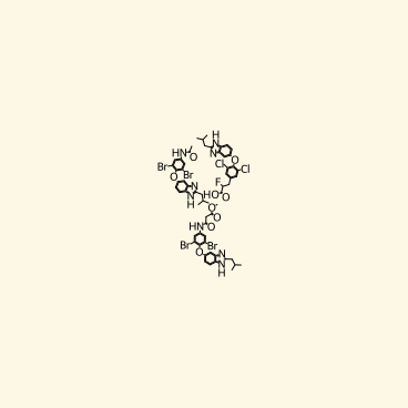 CC(=O)Nc1cc(Br)c(Oc2ccc3[nH]c(CC(C)C)nc3c2)c(Br)c1.CC(C)Cc1nc2cc(Oc3c(Cl)cc(CC(F)C(=O)O)cc3Cl)ccc2[nH]1.COC(=O)CC(=O)Nc1cc(Br)c(Oc2ccc3[nH]c(CC(C)C)nc3c2)c(Br)c1